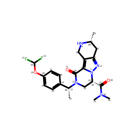 C[C@@H]1Cc2nn3c(c2CN1)C(=O)N([C@H](C)c1ccc(OC(F)F)cc1)C[C@H]3C(=O)N(C)C